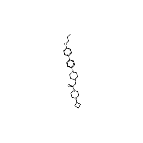 CCCOc1ccc(-c2ccc(N3CCN(CC(=O)N4CCN(C5CCC5)CC4)CC3)cc2)cc1